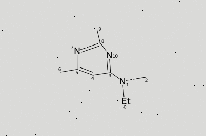 CCN(C)c1cc(C)nc(C)n1